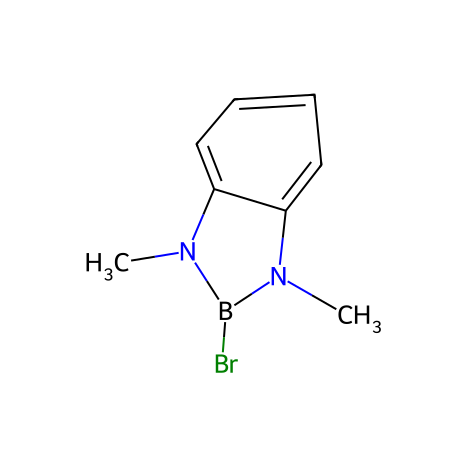 CN1B(Br)N(C)c2ccccc21